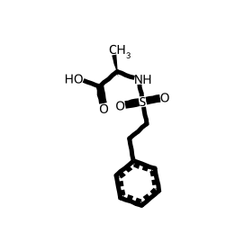 C[C@@H](NS(=O)(=O)CCc1ccccc1)C(=O)O